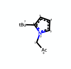 CC(=O)Cn1cccc1C(C)(C)C